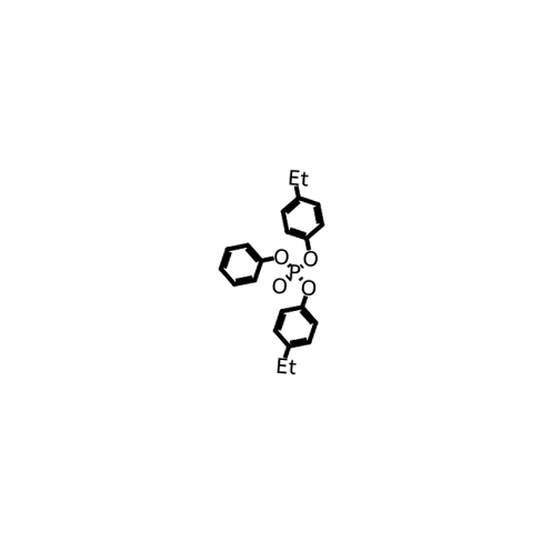 CCc1ccc(OP(=O)(Oc2ccccc2)Oc2ccc(CC)cc2)cc1